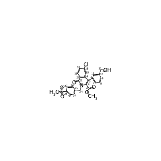 COC(=O)c1c(-c2cccc(CO)c2)c2cc(Cl)ccc2c(=O)n1Cc1ccc(S(C)(=O)=O)cc1